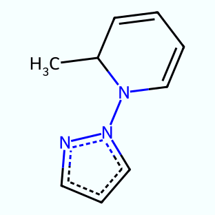 CC1C=CC=CN1n1cccn1